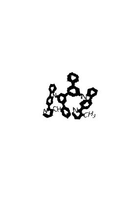 Cc1cccnc1-c1ccc2c3ccccc3n(-c3cc(-c4ccccc4)cc(-c4cc(-c5ccccc5)cc(-n5c6ccccc6c6ccc(-c7ncccc7C)cc65)c4)c3)c2c1